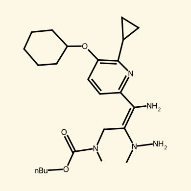 CCCCOC(=O)N(C)C/C(=C(/N)c1ccc(OC2CCCCC2)c(C2CC2)n1)N(C)N